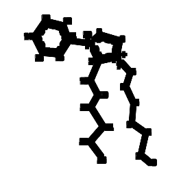 CCCCCCC[n+]1ccn(-c2ccccc2)c1CCCCCC